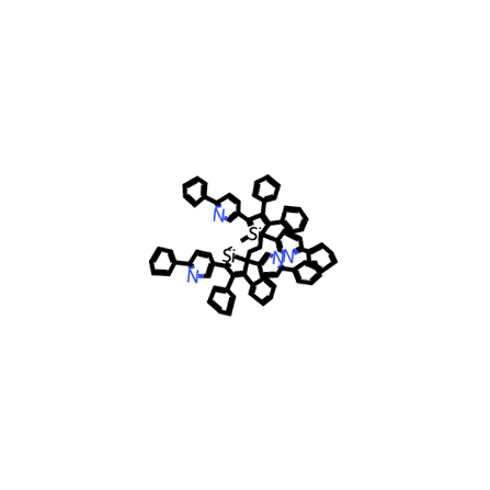 C[Si]1=C(c2ccc(-c3ccccc3)nc2)C(c2ccccc2)=C(c2ccccc2)C1(CCC1(c2ccc(-c3ccccc3)nc2)C(c2ccccc2)=C(c2ccccc2)C(c2ccc(-c3ccccc3)nc2)=[Si]1C)c1ccc(-c2ccccc2)nc1